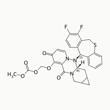 COC(=O)OCOc1c2n(ccc1=O)N([C@@H]1c3ccccc3SCc3c1ccc(F)c3F)[C@@H]1CC3CC3CN1C2=O